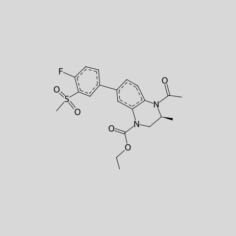 CCOC(=O)N1C[C@H](C)N(C(C)=O)c2ccc(-c3ccc(F)c(S(C)(=O)=O)c3)cc21